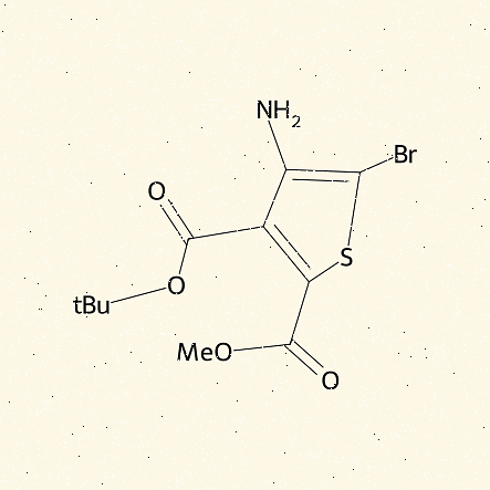 COC(=O)c1sc(Br)c(N)c1C(=O)OC(C)(C)C